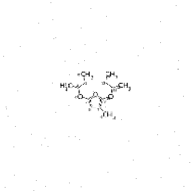 CCC(C)Oc1cc(C)c(OC(C)CC)o1